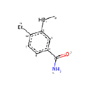 CBc1cc(C(N)=O)ccc1CC